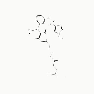 Cn1cnc(S(=O)(=O)Nc2cccc(C(c3c(O)cc(CCCNC(=O)CC[C@H](N)C(=O)O)oc3=O)C3CC3)c2)c1